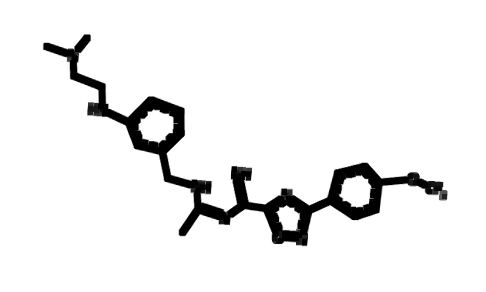 C/C(=N/C(=N)c1nc(-c2ccc(OC(F)(F)F)cc2)no1)NCc1cccc(NCCN(C)C)c1